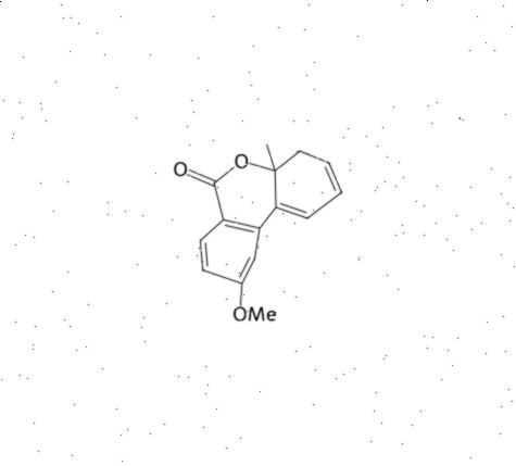 COc1ccc2c(c1)C1=CC=CCC1(C)OC2=O